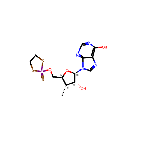 C[C@H]1[C@@H](O)[C@H](n2cnc3c(O)ncnc32)O[C@@H]1COP1(=S)SCCS1